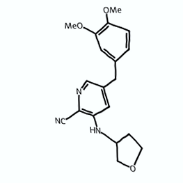 COc1ccc(Cc2cnc(C#N)c(NC3CCOC3)c2)cc1OC